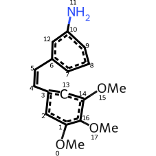 COc1cc(/C=C\c2cccc(N)c2)cc(OC)c1OC